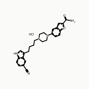 Cl.N#Cc1ccc2[nH]cc(CCCCN3CCN(c4ccc5oc(C(N)=O)cc5c4)CC3)c2c1